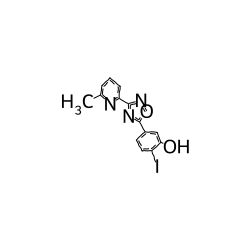 Cc1cccc(-c2noc(-c3ccc(I)c(O)c3)n2)n1